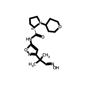 CC(C)(C=NO)c1cc(NC(=O)[C@@H]2CCCN2C2CCOCC2)on1